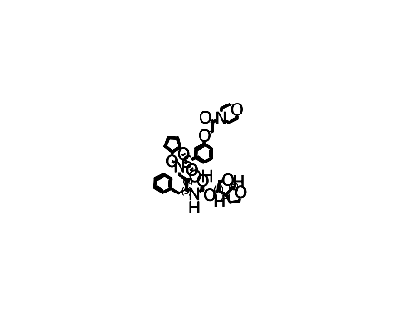 O=C(N[C@@H](Cc1ccccc1)[C@H](O)CN(OC1CCCC1)S(=O)(=O)c1cccc(OCC(=O)N2CCOCC2)c1)O[C@H]1CO[C@H]2OCC[C@H]21